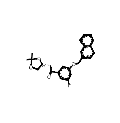 CC1(C)OC[C@@H](CC(=O)c2cc(F)cc(OCc3ccc4ccccc4c3)c2)O1